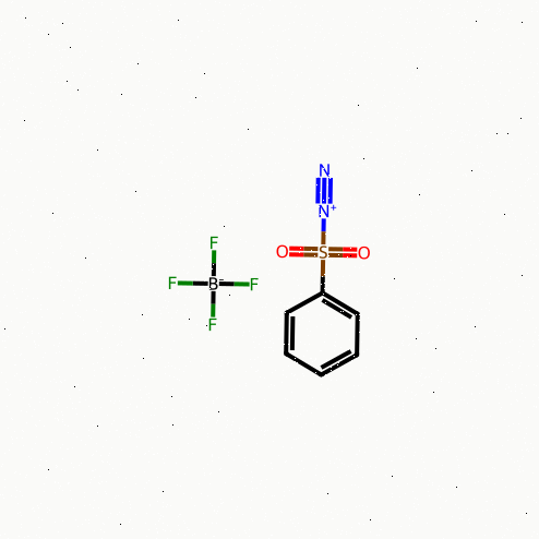 F[B-](F)(F)F.N#[N+]S(=O)(=O)c1ccccc1